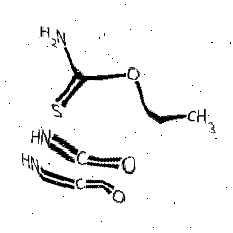 CCOC(N)=S.N=C=O.N=C=O